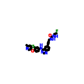 Cc1ccc(Oc2ccc(Nc3ncnc4ccc(C#CCNC(=O)NCCF)cc34)cc2Cl)cn1